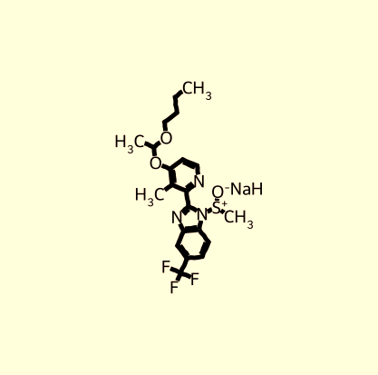 CCCCOC(C)Oc1ccnc(-c2nc3cc(C(F)(F)F)ccc3n2[S+](C)[O-])c1C.[NaH]